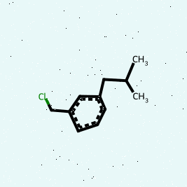 CC(C)Cc1cccc(CCl)c1